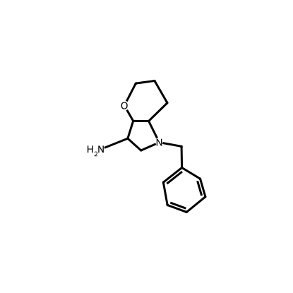 NC1CN(Cc2ccccc2)C2CCCOC12